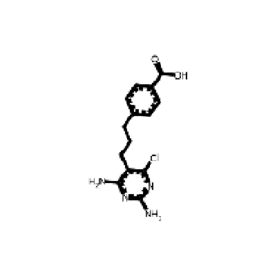 Nc1nc(N)c(CCCc2ccc(C(=O)O)cc2)c(Cl)n1